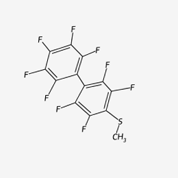 CSc1c(F)c(F)c(-c2c(F)c(F)c(F)c(F)c2F)c(F)c1F